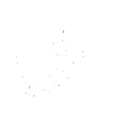 FCCCN1CCC(Oc2ccc(C3=C(Br)CCOc4c(F)cccc43)cc2)C1